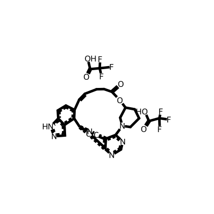 O=C(O)C(F)(F)F.O=C(O)C(F)(F)F.O=C1CCC=Cc2ccc3[nH]ncc3c2-c2cc3ncnc(c3cn2)N2CCCC(C2)O1